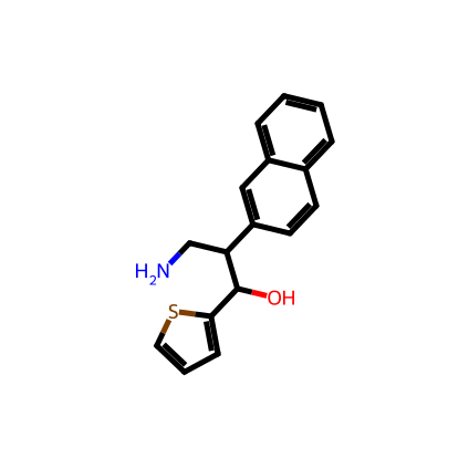 NCC(c1ccc2ccccc2c1)C(O)c1cccs1